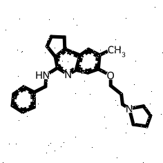 Cc1cc2c3c(c(NCc4ccccc4)nc2cc1OCCCN1CCCC1)CCC3